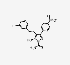 NC(=S)n1nc(-c2ccc([N+](=O)[O-])cc2)c(CCc2cccc(Cl)c2)c1O